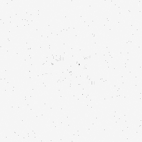 COc1cc2sc(C(=O)C(C)CC(=O)O)nc2c2nc(C)oc12